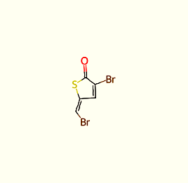 O=C1S/C(=C/Br)C=C1Br